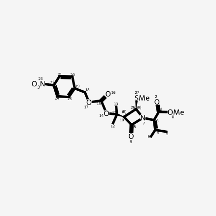 COC(=O)C(=C(C)C)N1C(=O)[C@@H](C(C)(C)OC(=O)OCc2ccc([N+](=O)[O-])cc2)[C@H]1SC